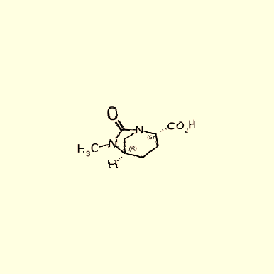 CN1C(=O)N2C[C@H]1CC[C@H]2C(=O)O